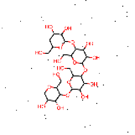 OCC1CC(O)C(O)C(OC2C(CO)OC(OC3C(CO)OC(OC4C(CO)OCC(O)C4O)C(O)C3O)C(O)C2O)O1